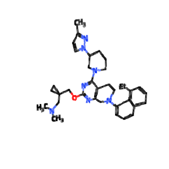 CCc1cccc2cccc(N3CCc4c(nc(OCC5(CN(C)C)CC5)nc4N4CCCC(n5ccc(C)n5)C4)C3)c12